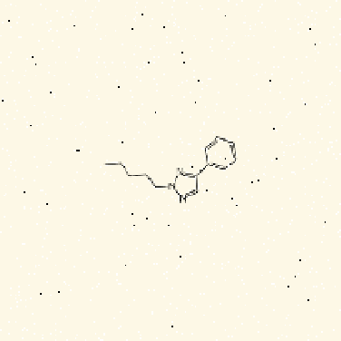 CCCCCn1ncc(-c2ccccc2)n1